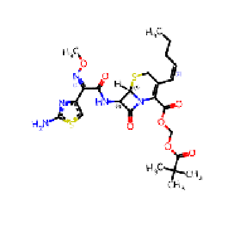 CCC/C=C\C1=C(C(=O)OCOC(=O)C(C)(C)C)N2C(=O)[C@@H](NC(=O)/C(=N\OC)c3csc(N)n3)[C@@H]2SC1